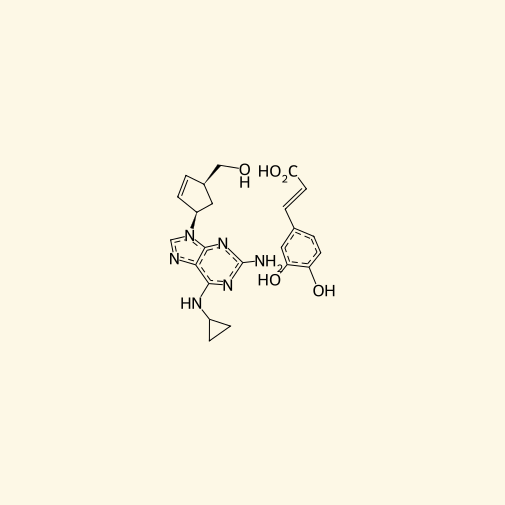 Nc1nc(NC2CC2)c2ncn([C@H]3C=C[C@@H](CO)C3)c2n1.O=C(O)C=Cc1ccc(O)c(O)c1